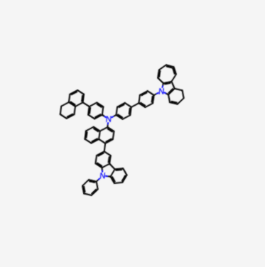 C1=CC=Cc2c(c3c(n2-c2ccc(-c4ccc(N(c5ccc(-c6cccc7c6C=CCC7)cc5)c5ccc(-c6ccc7c(c6)c6ccccc6n7-c6ccccc6)c6ccccc56)cc4)cc2)C=CCC3)C=1